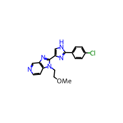 COCCn1c(-c2c[nH]c(-c3ccc(Cl)cc3)n2)nc2cnccc21